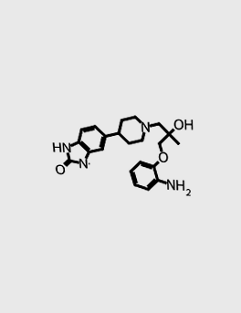 CC(O)(COc1ccccc1N)CN1CCC(c2ccc3c(c2)[N]C(=O)N3)CC1